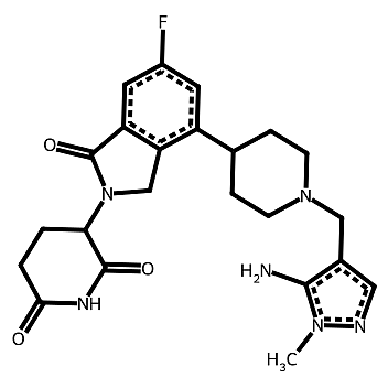 Cn1ncc(CN2CCC(c3cc(F)cc4c3CN(C3CCC(=O)NC3=O)C4=O)CC2)c1N